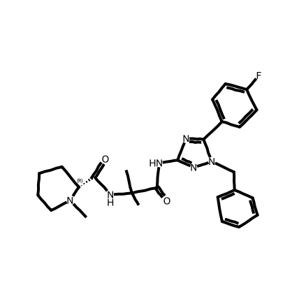 CN1CCCC[C@@H]1C(=O)NC(C)(C)C(=O)Nc1nc(-c2ccc(F)cc2)n(Cc2ccccc2)n1